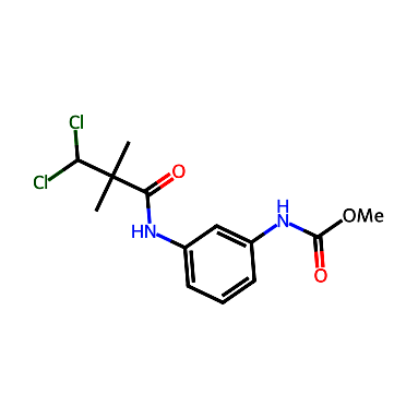 COC(=O)Nc1cccc(NC(=O)C(C)(C)C(Cl)Cl)c1